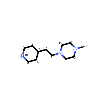 CCN1CCN(CCC2CCNCC2)CC1